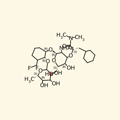 CC(=O)NC1C(O[C@@H](CC2CCCCC2)C(=O)N(C)C)[C@@H](O)[C@H](CO)O[C@H]1O[C@@H]1CCCC(C(F)F)[C@H]1OC1O[C@@H](C)[C@H](O)C(O)[C@@H]1O